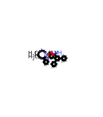 C=C1/C=C\C=C/N(C/C=C\C=C(/N)c2cc(-c3ccccc3)cc(-c3ccccc3)c2)c2c(c3ccccc3n2-c2ccccc2)/C=C\C1=C